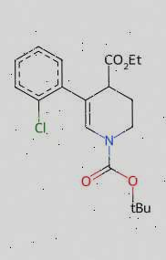 CCOC(=O)C1CCN(C(=O)OC(C)(C)C)C=C1c1ccccc1Cl